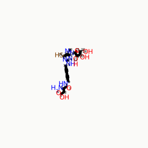 NC(CC(=O)O)C(=O)NCC#CC#CCNc1nc(S)c2ncn([C@@H]3O[C@H](CO)C(O)[C@@H]3O)c2n1